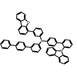 c1ccc(-c2ccc(-c3cccc(N(c4ccc(-c5ccccc5-n5c6ccccc6c6ccccc65)cc4)c4cccc(-c5cccc6c5oc5ccccc56)c4)c3)cc2)cc1